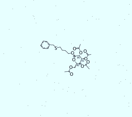 CC(=O)OC[C@H]1O[C@@H](OCCCCSCc2ccccc2)[C@H](OC(C)=O)[C@@H](OC(C)=O)[C@@H]1OC(C)=O